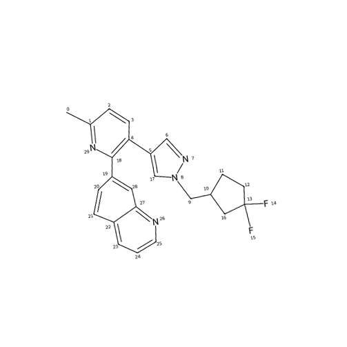 Cc1ccc(-c2cnn(CC3CCC(F)(F)C3)c2)c(-c2ccc3cccnc3c2)n1